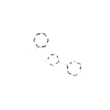 CCCc1ccccc1-n1cc(-c2ccncn2)cn1